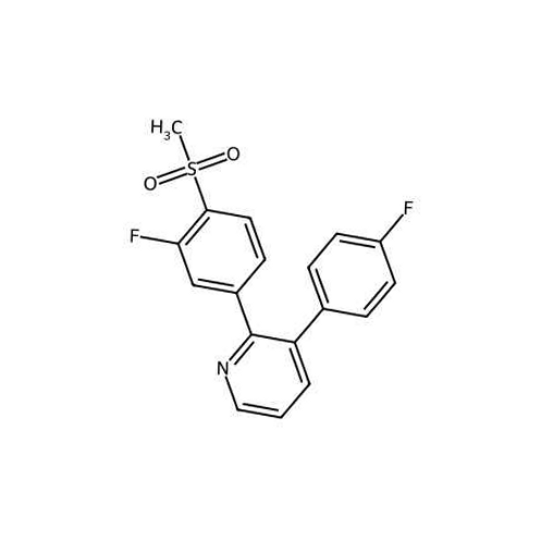 CS(=O)(=O)c1ccc(-c2ncccc2-c2ccc(F)cc2)cc1F